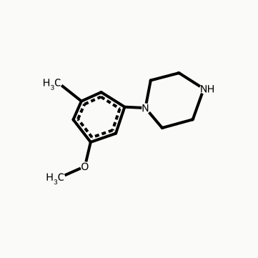 COc1cc(C)cc(N2CCNCC2)c1